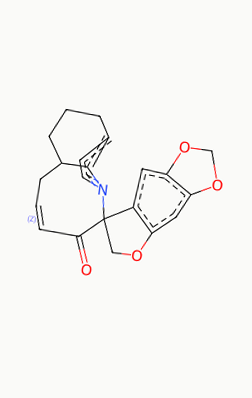 O=C1/C=C\CC2CCCc3ccn(c32)C12COc1cc3c(cc12)OCO3